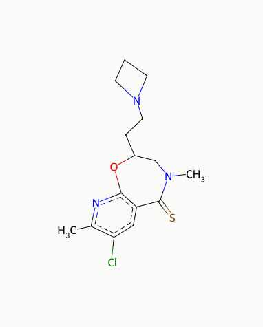 Cc1nc2c(cc1Cl)C(=S)N(C)CC(CCN1CCC1)O2